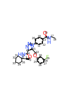 C#CC1(NC(=O)c2nnn(-c3ccc(C(=O)NCC)cc3)c2COc2cccc(F)c2)CCCCC1